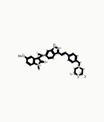 COc1ccc2c(c1)[C@]1(C[C@H]1c1ccc3c(/C=C/c4ccc(CN5C[C@@H](C)O[C@@H](C)C5)cc4)n[nH]c3c1)C(=O)N2C